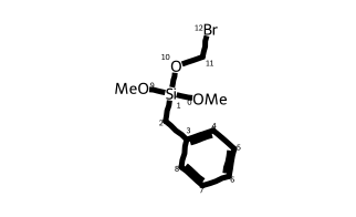 CO[Si](Cc1ccccc1)(OC)OCBr